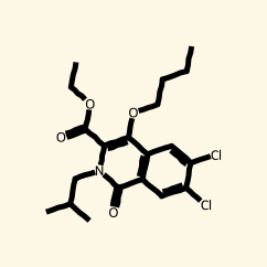 CCCCOc1c(C(=O)OCC)n(CC(C)C)c(=O)c2cc(Cl)c(Cl)cc12